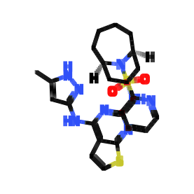 Cc1cc(Nc2nc(N[C@@H]3C[C@H]4CCCC[C@@H](C3)N4S(=O)(=O)c3ccccn3)nc3sccc23)n[nH]1